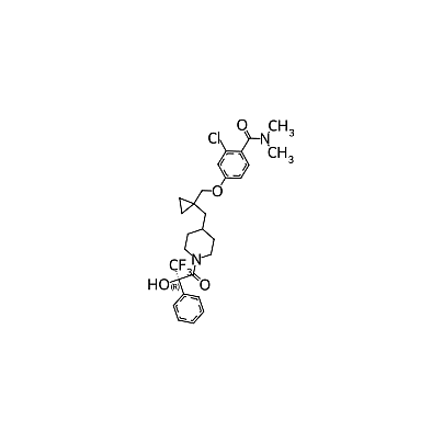 CN(C)C(=O)c1ccc(OCC2(CC3CCN(C(=O)[C@](O)(c4ccccc4)C(F)(F)F)CC3)CC2)cc1Cl